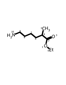 CCOC(=O)C(C)CCCCN